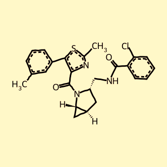 Cc1cccc(-c2sc(C)nc2C(=O)N2[C@H](CNC(=O)c3ccccc3Cl)C[C@H]3C[C@@H]32)c1